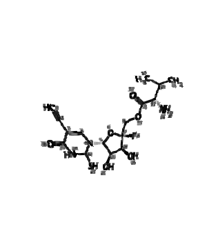 C#CC1=CN([C@@H]2O[C@](F)(COC(=O)[C@@H](N)C(C)C)[C@@H](O)[C@H]2O)C(S)NC1=O